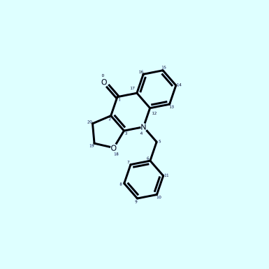 O=c1c2c(n(Cc3ccccc3)c3ccccc13)OCC2